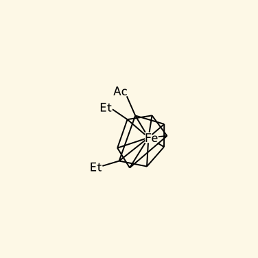 CC[C]12[CH]3[CH]4[CH]5[CH]1[Fe]45321678[CH]2[CH]1[C]6(CC)[C]7(C(C)=O)[CH]28